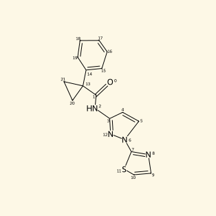 O=C(Nc1ccn(-c2nccs2)n1)C1(c2ccccc2)CC1